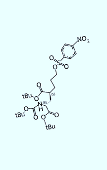 CC(C)(C)OC(=O)N[C@H](C[C@H](CCCOS(=O)(=O)c1ccc([N+](=O)[O-])cc1)C(=O)OC(C)(C)C)C(=O)OC(C)(C)C